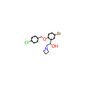 OC(CN1CCC1)c1cc(Br)ccc1OCc1ccc(Cl)cc1